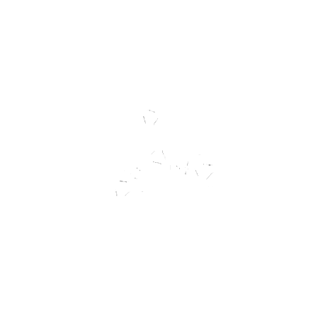 O=S(=O)(NCc1cc(CNS(=O)(=O)c2cc(Cl)cc(Cl)c2O)cc(OCc2ccccc2)c1)c1cc(Cl)cc(Cl)c1O